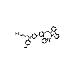 C=Cc1ccc(N(CC/C=C/CC)c2ccc(-c3ccc4c(c3)-c3cccc[n+]3C(=C)CC3C(CC4)c4ccccc4-c4cccc[n+]43)cc2)cc1